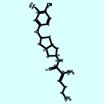 N#Cc1ccc(OC2CC3CC(NC(=O)/C(N)=C/CCN)CC3C2)cc1C(F)(F)F